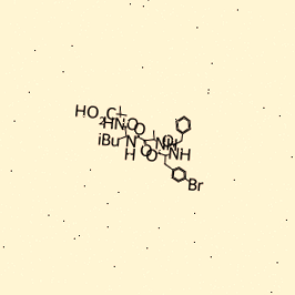 CCC(C)C(NC(=O)C(=O)C(C)NC(=O)C(Cc1ccc(Br)cc1)NC(=O)Cc1ccccc1)C(=O)NC(C)(C)C(=O)O